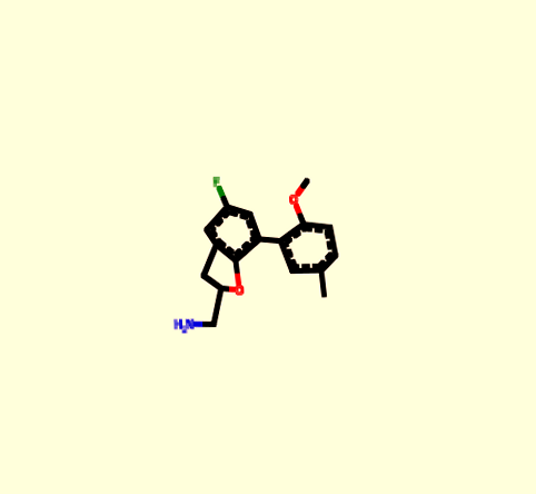 COc1ccc(C)cc1-c1cc(F)cc2c1OC(CN)C2